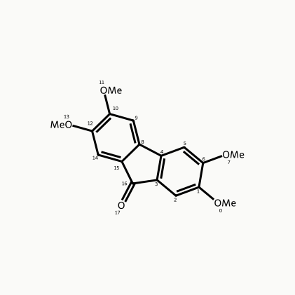 COc1cc2c(cc1OC)-c1cc(OC)c(OC)cc1C2=O